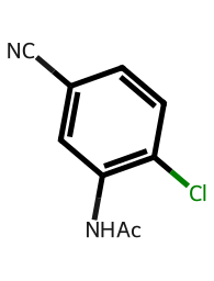 CC(=O)Nc1cc(C#N)ccc1Cl